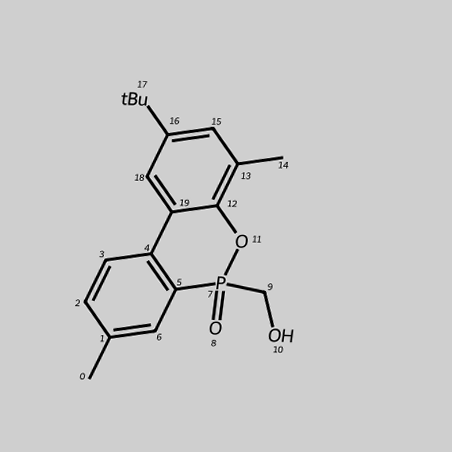 Cc1ccc2c(c1)P(=O)(CO)Oc1c(C)cc(C(C)(C)C)cc1-2